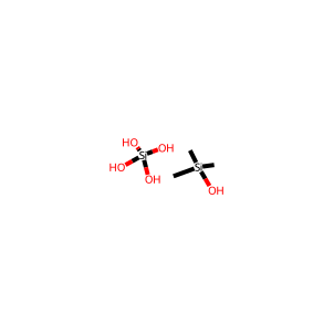 C[Si](C)(C)O.O[Si](O)(O)O